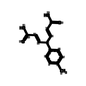 Cc1ccc(C(C=CC(=O)O)C=CC(=O)O)cc1